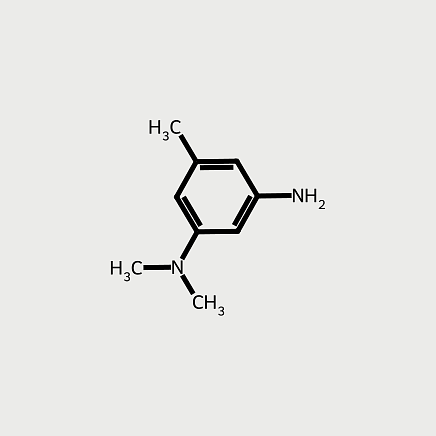 Cc1cc(N)cc(N(C)C)c1